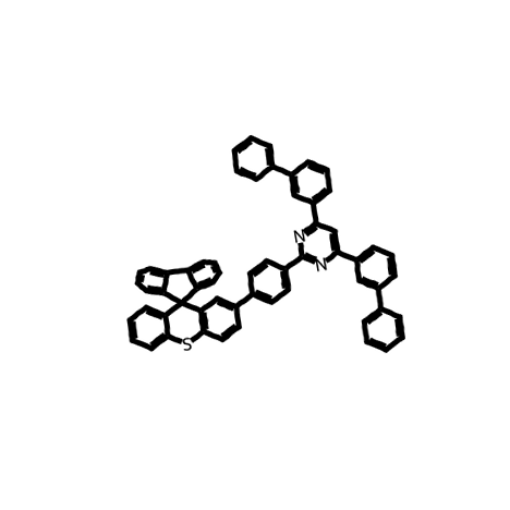 c1ccc(-c2cccc(-c3cc(-c4cccc(-c5ccccc5)c4)nc(-c4ccc(-c5ccc6c(c5)C5(c7ccccc7S6)c6ccccc6-c6ccccc65)cc4)n3)c2)cc1